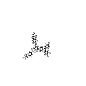 C=CC(=O)Oc1ccc(CCc2cc(-c3ccc(N(c4ccc(C)c(C)c4)c4ccc(C)c(C)c4)cc3)cc(CCc3ccc(OC(=O)C=C)cc3)c2C)cc1